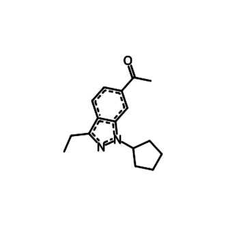 CCc1nn(C2CCCC2)c2cc(C(C)=O)ccc12